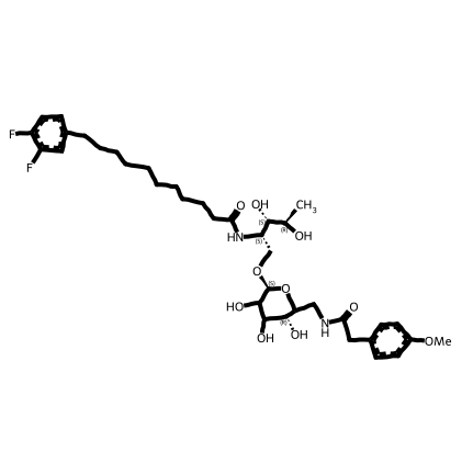 COc1ccc(CC(=O)NCC2O[C@H](OC[C@H](NC(=O)CCCCCCCCCCc3ccc(F)c(F)c3)[C@H](O)[C@@H](C)O)C(O)C(O)[C@H]2O)cc1